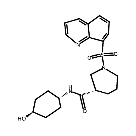 O=C(N[C@H]1CC[C@H](O)CC1)[C@H]1CCCN(S(=O)(=O)c2cccc3cccnc23)C1